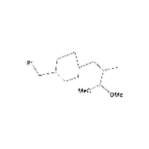 COC(OC)C(C)CC1CCC(CC(C)C)CC1